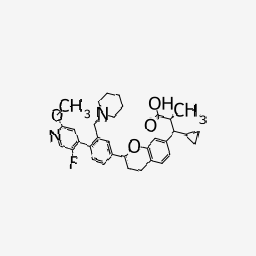 COc1cc(-c2ccc(C3CCc4ccc(C(C5CC5)[C@H](C)C(=O)O)cc4O3)cc2CN2CCCCC2)c(F)cn1